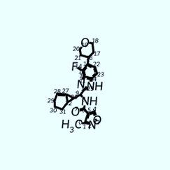 Cc1nocc1C(=O)NC(c1nc2c(F)c(C3CCOCC3)ccc2[nH]1)C1C2=CCCCC21